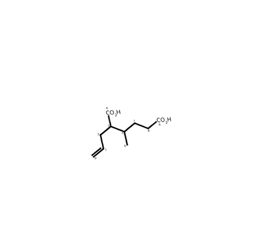 C=CCC(C(=O)O)C(C)CCC(=O)O